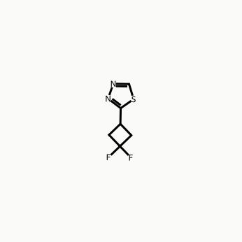 FC1(F)CC(c2nncs2)C1